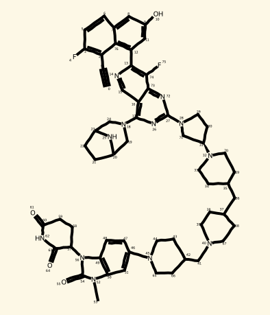 C#Cc1c(F)ccc2cc(O)cc(-c3ncc4c(N5CC6CCC(C5)N6)nc(N5CC[C@@H](N6CCC(CC7CCN(CC8CCN(c9ccc%10c(c9)n(C)c(=O)n%10C9CCC(=O)NC9=O)CC8)CC7)CC6)C5)nc4c3F)c12